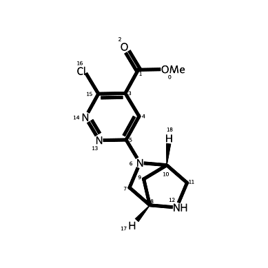 COC(=O)c1cc(N2C[C@@H]3C[C@H]2CN3)nnc1Cl